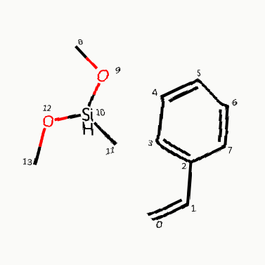 C=Cc1ccccc1.CO[SiH](C)OC